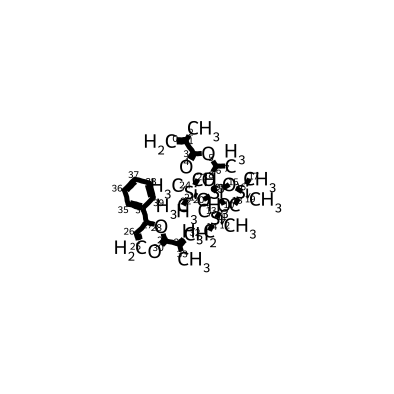 C=C(C)C(=O)OC(C)O[Si](O[Si](C)(C)C)(O[Si](C)(C)C)O[Si](C)(C)C.C=CC(OC(=O)C(=C)C)c1ccccc1